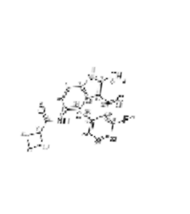 Cc1[nH]c2ccc(NC(=O)C3CCC3)cc2c1C(=O)c1c(F)cccc1Cl